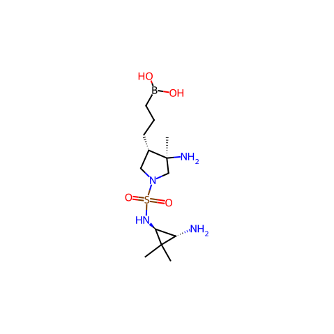 CC1(C)[C@@H](N)[C@@H]1NS(=O)(=O)N1C[C@H](CCCB(O)O)[C@@](C)(N)C1